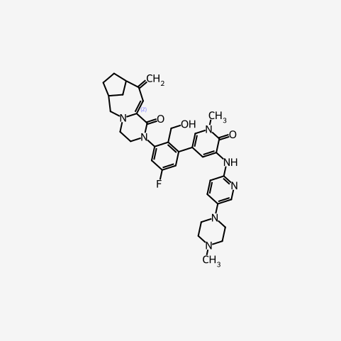 C=C1/C=C2/C(=O)N(c3cc(F)cc(-c4cc(Nc5ccc(N6CCN(C)CC6)cn5)c(=O)n(C)c4)c3CO)CCN2CC2CCC1C2